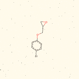 [CH2]Cc1ccc(OCC2CO2)cc1